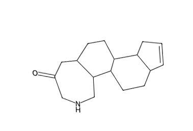 O=C1CNCC2C(CCC3C4CC=CC4CCC23)C1